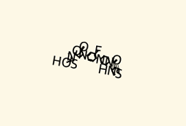 CN(C(O)=S)C1CN(c2ccc(N3CCN(C(=O)[C@@H]4CSCN4)CC3)c(F)c2)C(=O)O1